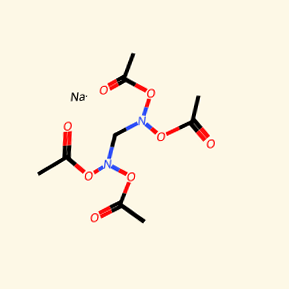 CC(=O)ON(CN(OC(C)=O)OC(C)=O)OC(C)=O.[Na]